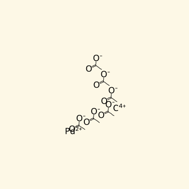 CC(=O)[O-].CC(=O)[O-].CC(=O)[O-].CC(=O)[O-].CC(=O)[O-].CC(=O)[O-].[C+4].[Pd+2]